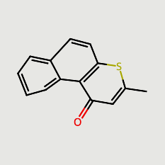 Cc1cc(=O)c2c(ccc3ccccc32)s1